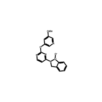 COc1cncc(Oc2nccc(N3Cc4ccccc4[S+]3[O-])n2)c1